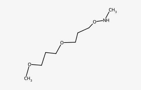 CNOCCCOCCCOC